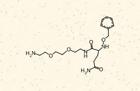 NCCOCCOCCNC(=O)C(CCC(N)=O)NOCc1ccccc1